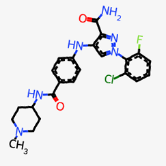 CN1CCC(NC(=O)c2ccc(Nc3cn(-c4c(F)cccc4Cl)nc3C(N)=O)cc2)CC1